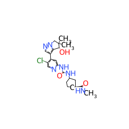 CNC(=O)[C@H]1CCC[C@@H](NC(=O)Nc2cc(-c3cnn4c3[C@@H](O)C(C)(C)C4)c(Cl)cn2)C1